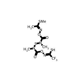 CSC(C)=NOC(=O)N(C)SN(C)C(=O)ON=C(S)C(F)(F)F